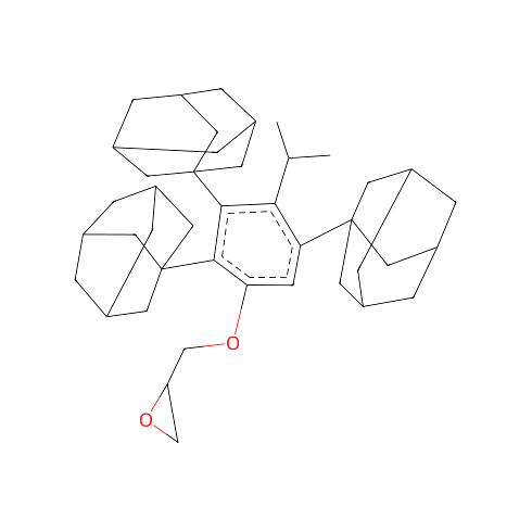 CC(C)c1c(C23CC4CC(CC(C4)C2)C3)cc(OCC2CO2)c(C23CC4CC(CC(C4)C2)C3)c1C12CC3CC(CC(C3)C1)C2